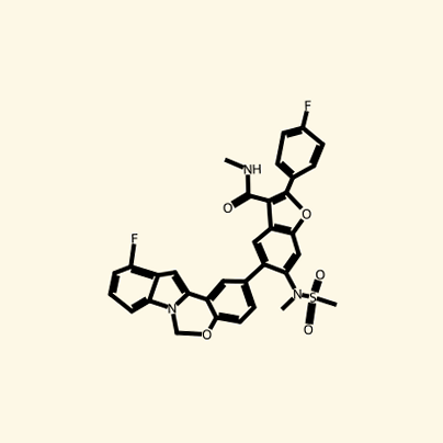 CNC(=O)c1c(-c2ccc(F)cc2)oc2cc(N(C)S(C)(=O)=O)c(-c3ccc4c(c3)-c3cc5c(F)cccc5n3CO4)cc12